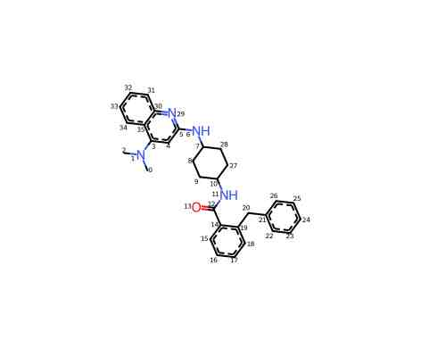 CN(C)c1cc(NC2CCC(NC(=O)c3ccccc3Cc3ccccc3)CC2)nc2ccccc12